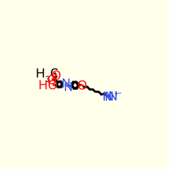 COC(=O)c1cc(/N=N/c2ccc(OCCCCCCCCN=[N+]=[N-])cc2)ccc1O